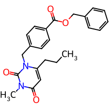 CCCc1cc(=O)n(C)c(=O)n1Cc1ccc(C(=O)OCc2ccccc2)cc1